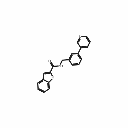 O=C(NCc1cccc(-c2cccnc2)c1)c1cc2ccccc2s1